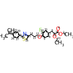 CCOC(=O)C(Cc1ccc(OCCCc2csc(-c3ccc(C(C)C)cc3)n2)c(F)c1)OCC